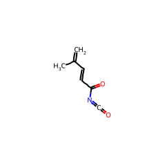 C=C(C)C=CC(=O)N=C=O